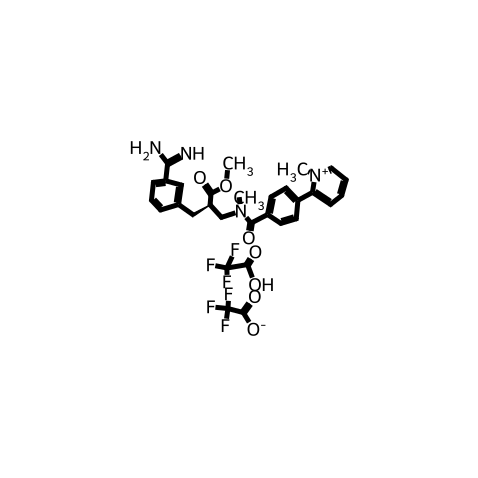 COC(=O)[C@H](Cc1cccc(C(=N)N)c1)CN(C)C(=O)c1ccc(-c2cccc[n+]2C)cc1.O=C(O)C(F)(F)F.O=C([O-])C(F)(F)F